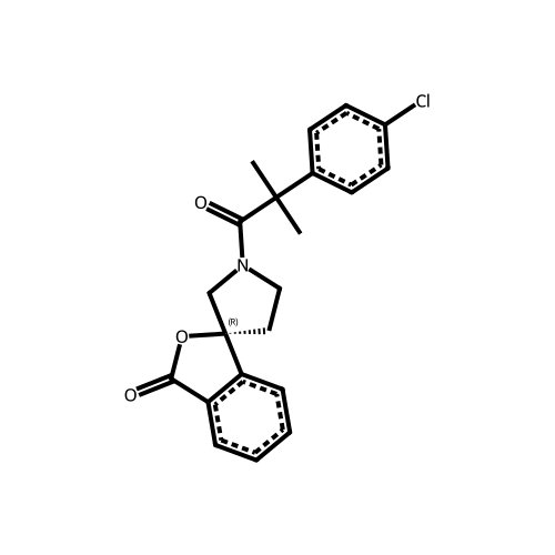 CC(C)(C(=O)N1CC[C@@]2(C1)OC(=O)c1ccccc12)c1ccc(Cl)cc1